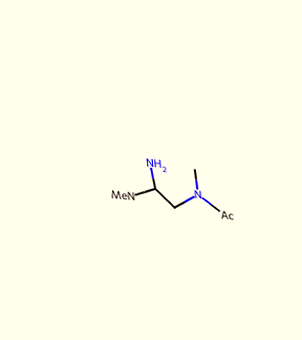 CNC(N)CN(C)C(C)=O